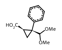 COC(OC)[C@@]1(c2ccccc2)C[C@H]1C(=O)O